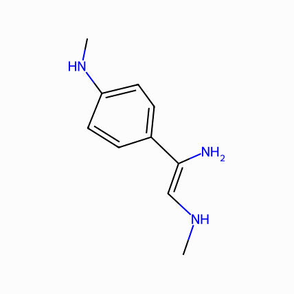 CN/C=C(\N)c1ccc(NC)cc1